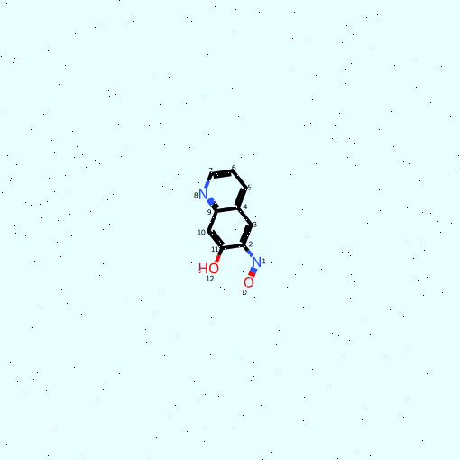 O=Nc1cc2cccnc2cc1O